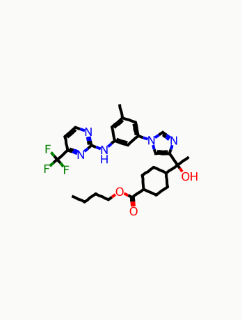 CCCCOC(=O)C1CCC(C(C)(O)c2cn(-c3cc(C)cc(Nc4nccc(C(F)(F)F)n4)c3)cn2)CC1